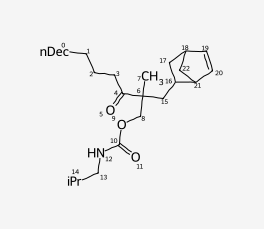 CCCCCCCCCCCCCC(=O)C(C)(COC(=O)NCC(C)C)CC1CC2C=CC1C2